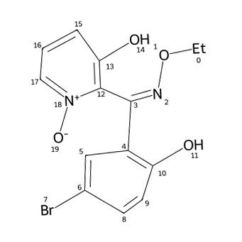 CCO/N=C(/c1cc(Br)ccc1O)c1c(O)ccc[n+]1[O-]